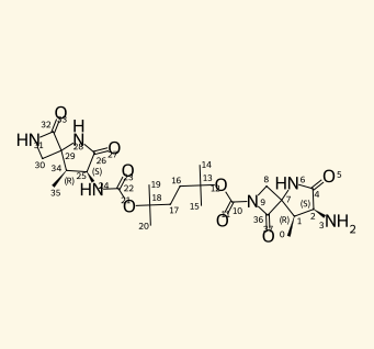 C[C@@H]1[C@H](N)C(=O)NC12CN(C(=O)OC(C)(C)CCC(C)(C)OC(=O)N[C@@H]1C(=O)NC3(CNC3=O)[C@@H]1C)C2=O